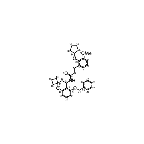 COc1cccc(CCC(=O)NC2CC3(CCC3)Oc3cccc(OCc4ccccc4)c32)c1OC1CCCC1